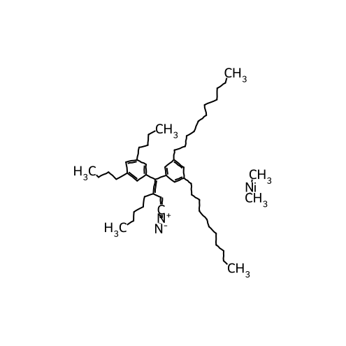 CCCCCCCCCCCc1cc(CCCCCCCCCCC)cc(C(=C(C=C=[N+]=[N-])CCCCC)c2cc(CCCC)cc(CCCC)c2)c1.[CH3][Ni][CH3]